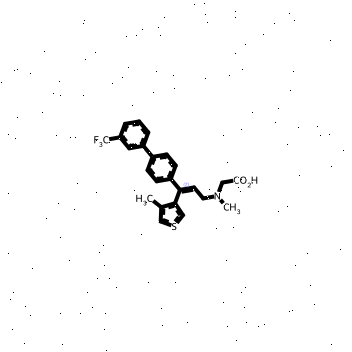 Cc1cscc1/C(=C\CN(C)CC(=O)O)c1ccc(-c2cccc(C(F)(F)F)c2)cc1